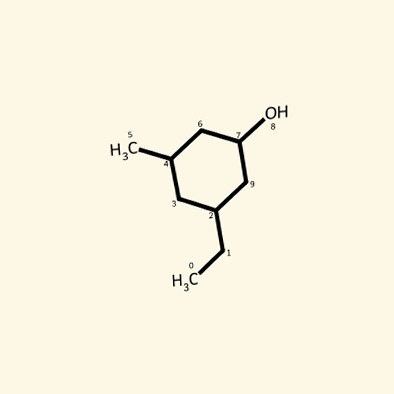 CCC1CC(C)CC(O)C1